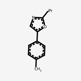 Cc1ccc(-c2cnc(C(C)C)o2)cc1